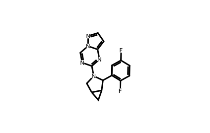 Fc1ccc(F)c(C2C3CC3CN2c2ncn3nccc3n2)c1